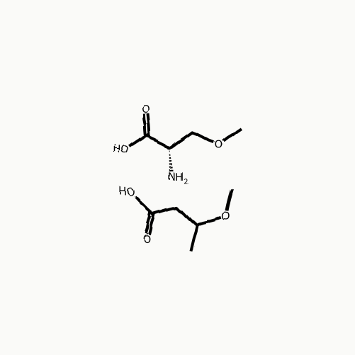 COC(C)CC(=O)O.COC[C@H](N)C(=O)O